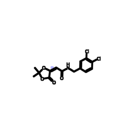 CC1(C)OC(=O)/C(=C\C(=O)NCc2ccc(Cl)c(Cl)c2)O1